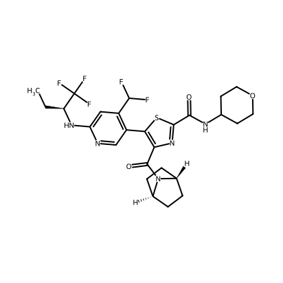 CC[C@H](Nc1cc(C(F)F)c(-c2sc(C(=O)NC3CCOCC3)nc2C(=O)N2[C@H]3CC[C@H]2CC3)cn1)C(F)(F)F